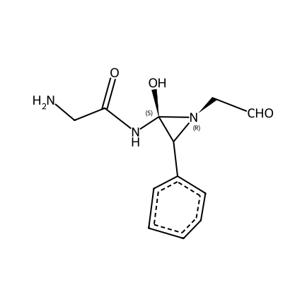 NCC(=O)N[C@@]1(O)C(c2ccccc2)[N@]1CC=O